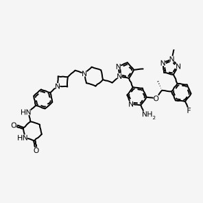 Cc1cnn(CC2CCN(CC3CN(c4ccc(NC5CCC(=O)NC5=O)cc4)C3)CC2)c1-c1cnc(N)c(O[C@H](C)c2cc(F)ccc2-c2cnn(C)n2)c1